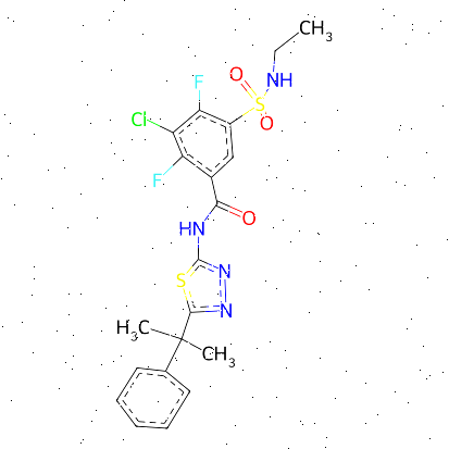 CCNS(=O)(=O)c1cc(C(=O)Nc2nnc(C(C)(C)c3ccccc3)s2)c(F)c(Cl)c1F